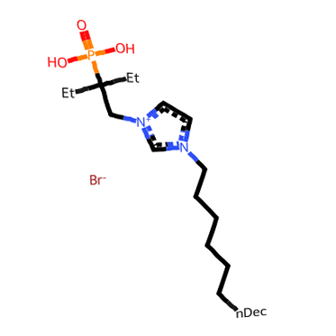 CCCCCCCCCCCCCCCCn1cc[n+](CC(CC)(CC)P(=O)(O)O)c1.[Br-]